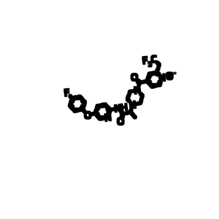 CC(C(=O)Nc1ccc(Oc2ccc(F)cc2)cn1)N1CCN(C(=O)c2cc[n+]([O-])c(CC(F)(F)F)c2)CC1